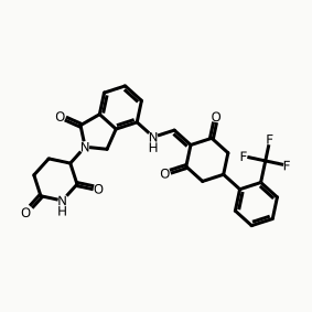 O=C1CCC(N2Cc3c(NC=C4C(=O)CC(c5ccccc5C(F)(F)F)CC4=O)cccc3C2=O)C(=O)N1